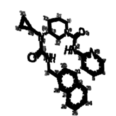 O=C(Nc1ccccn1)N1CCC[C@@H](N(C(=O)NCc2ccc3ccccc3c2)C2CC2)C1